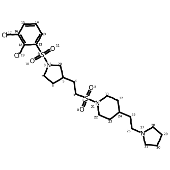 O=S(=O)(CCC1CCN(S(=O)(=O)c2cccc(Cl)c2Cl)C1)N1CCC(CCN2CCCC2)CC1